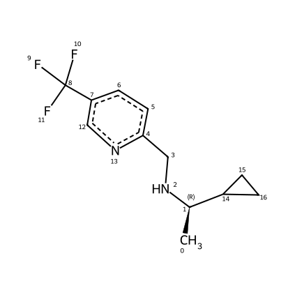 C[C@@H](NCc1ccc(C(F)(F)F)cn1)C1CC1